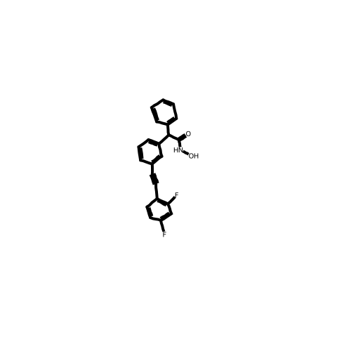 O=C(NO)C(c1ccccc1)c1cccc(C#Cc2ccc(F)cc2F)c1